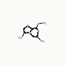 COc1nc(C)cn2c(C)cnc12